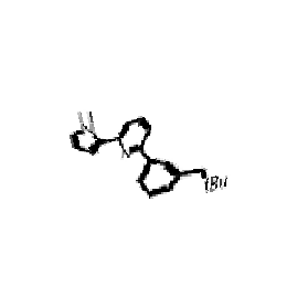 CC(C)(C)Cc1cccc(-c2cccc(-c3ccc[nH]3)n2)c1